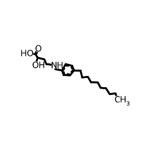 CCCCCCCCCCc1ccc(CNCCC(O)C(=O)O)cc1